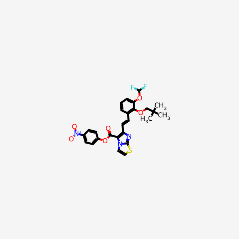 CC(C)(C)COc1c(C=Cc2nc3sccn3c2C(=O)Oc2ccc([N+](=O)[O-])cc2)cccc1OC(F)F